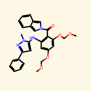 COCOc1cc(Nc2cc(-c3ccccc3)nn2C)c(C(=O)n2cc3ccccc3c2)c(OCOC)c1